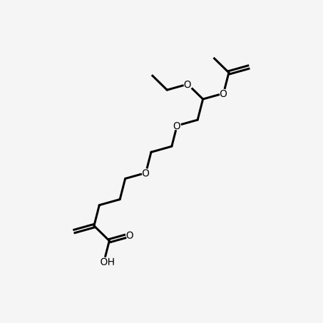 C=C(C)OC(COCCOCCCC(=C)C(=O)O)OCC